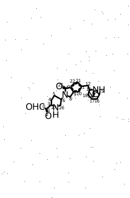 O=CC(=O)C1CCC(N2Cc3cc(CN4CC5CCC4CN5)ccc3C2=O)CN1